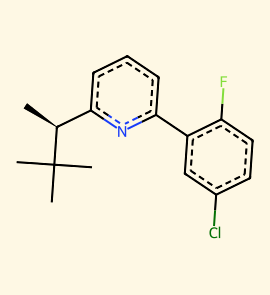 C[C@@H](c1cccc(-c2cc(Cl)ccc2F)n1)C(C)(C)C